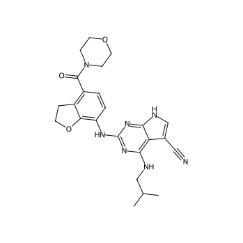 CC(C)CNc1nc(Nc2ccc(C(=O)N3CCOCC3)c3c2OCC3)nc2[nH]cc(C#N)c12